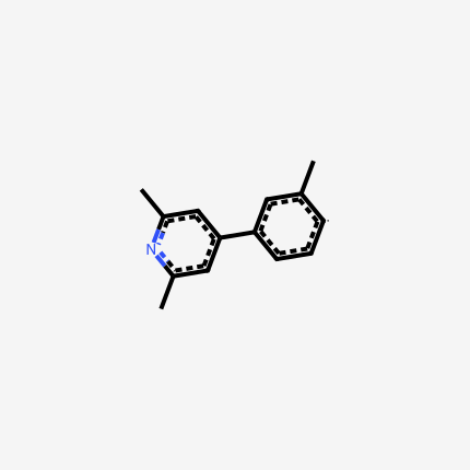 Cc1[c]ccc(-c2cc(C)nc(C)c2)c1